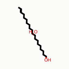 CC=CCCCCCCCCCCCCCCCCCO.O